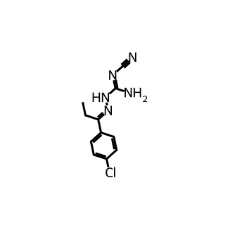 CC/C(=N\N/C(N)=N/C#N)c1ccc(Cl)cc1